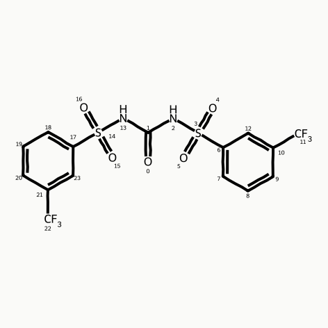 O=C(NS(=O)(=O)c1cccc(C(F)(F)F)c1)NS(=O)(=O)c1cccc(C(F)(F)F)c1